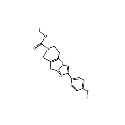 CCOC(=O)N1CCc2c(sc3nc(-c4ccc(SC)cc4)cn23)C1